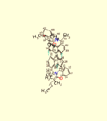 CCCC(C)(C)C(=O)N(Cc1ccccc1)C(CC)c1ccc(F)[c]([Ti]([C]2=CC=CC2)([C]2=CC=CC2)[c]2c(F)ccc(C(CC)N(Cc3ccccc3)C(=O)C(C)(C)CCC)c2F)c1F